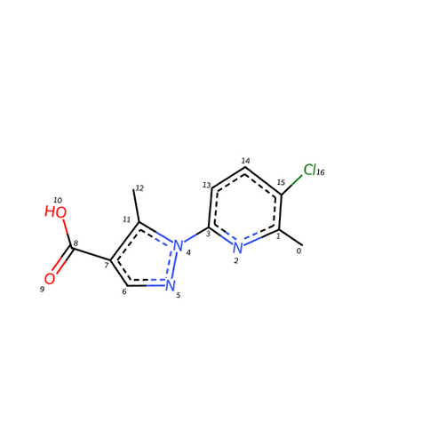 Cc1nc(-n2ncc(C(=O)O)c2C)ccc1Cl